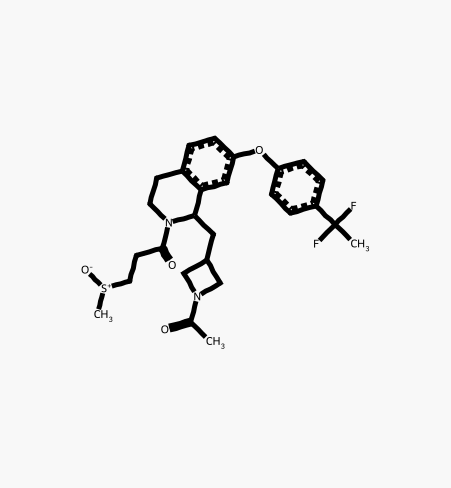 CC(=O)N1CC(CC2c3cc(Oc4ccc(C(C)(F)F)cc4)ccc3CCN2C(=O)CC[S+](C)[O-])C1